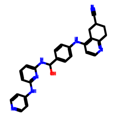 N#CC1CCc2nccc(Nc3ccc(C(O)Nc4cccc(Nc5ccncc5)n4)cc3)c2C1